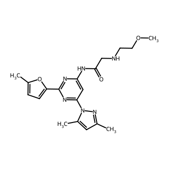 COCCNCC(=O)Nc1cc(-n2nc(C)cc2C)nc(-c2ccc(C)o2)n1